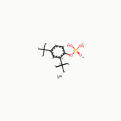 CC(C)(C)c1ccc(OP(=O)(O)O)c(C(C)(C)C)c1.[LiH]